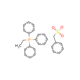 CC[P+](c1ccccc1)(c1ccccc1)c1ccccc1.O=S(=O)([O-])Cc1ccccc1